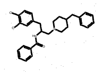 O=C(NC(Cc1ccc(Cl)c(Cl)c1)CN1CCC(Cc2ccccc2)CC1)c1ccccc1